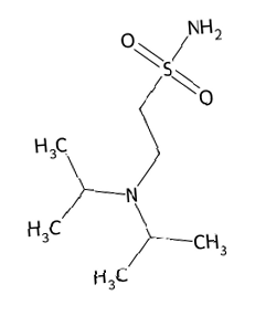 CC(C)N(CCS(N)(=O)=O)C(C)C